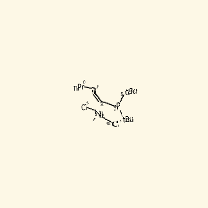 CCCC=CP(C(C)(C)C)C(C)(C)C.[Cl][Ni][Cl]